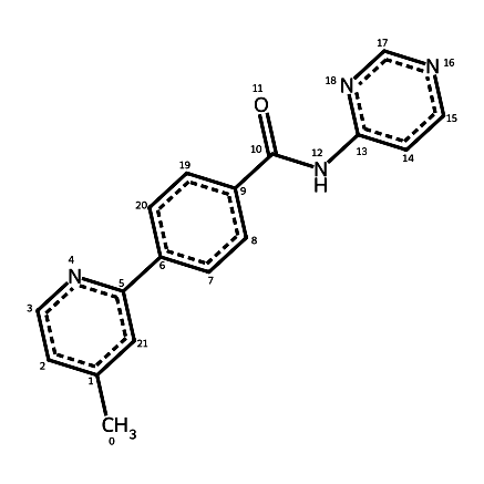 Cc1ccnc(-c2ccc(C(=O)Nc3ccncn3)cc2)c1